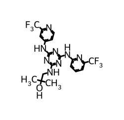 CC(C)(O)CNc1nc(Nc2ccnc(C(F)(F)F)c2)nc(Nc2cccc(C(F)(F)F)n2)n1